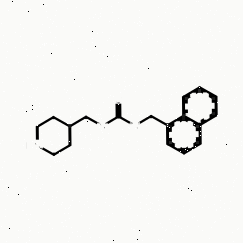 O=C(NCc1cccc2ccccc12)NCC1CCNCC1